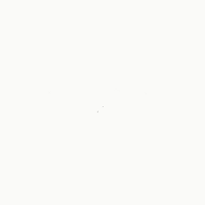 [CH2]CCC[CH]c1ccc(C)cc1